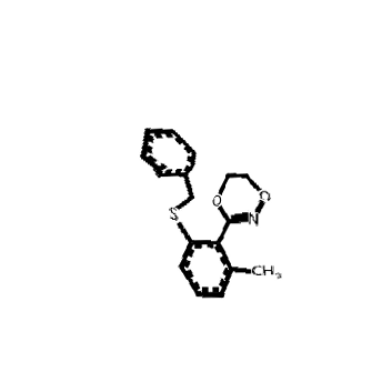 Cc1cccc(SCc2ccccc2)c1C1=NOCCO1